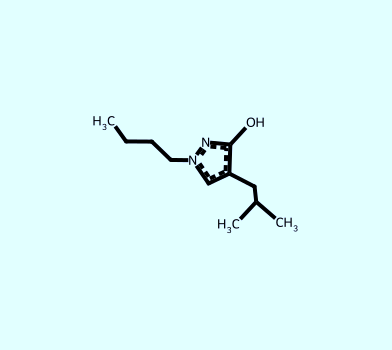 CCCCn1cc(CC(C)C)c(O)n1